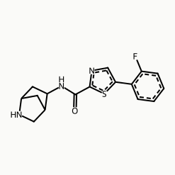 O=C(NC1CC2CC1CN2)c1ncc(-c2ccccc2F)s1